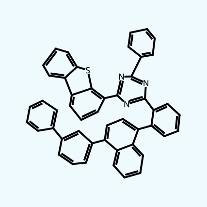 c1ccc(-c2cccc(-c3ccc(-c4ccccc4-c4nc(-c5ccccc5)nc(-c5cccc6c5sc5ccccc56)n4)c4ccccc34)c2)cc1